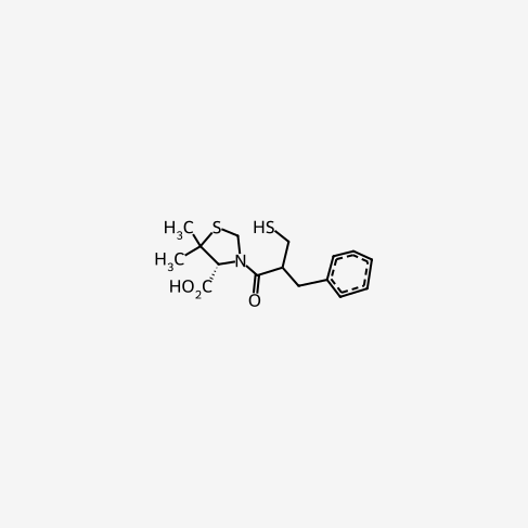 CC1(C)SCN(C(=O)C(CS)Cc2ccccc2)[C@@H]1C(=O)O